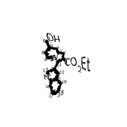 CCOC(=O)c1cc2cc(CO)ccn2c1-c1cnc2ccccc2c1